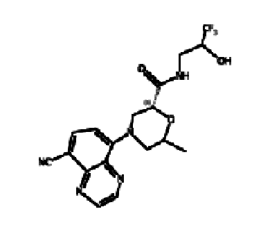 CC1CN(c2ccc(C#N)c3nccnc23)C[C@H](C(=O)NCC(O)C(F)(F)F)O1